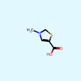 CN1C=C(C(=O)O)SC1